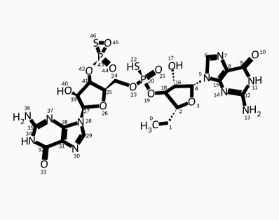 CC[C@H]1O[C@@H](n2cnc3c(=O)[nH]c(N)nc32)[C@@H](O)C1O[P@](=O)(S)OC[C@H]1O[C@@H](n2cnc3c(=O)[nH]c(N)nc32)[C@@H](O)C1O[P@@]1(=O)OS1